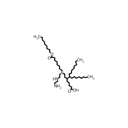 CCCCCCCCCOC(=O)CCCCCCCN(CCNCCN)CCC(CCCCC(=O)O)C(CCCCCCCC)CCCCCCCC